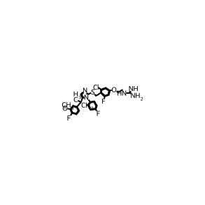 COc1cc(C(C)(C)c2cnc(SCc3c(F)cc(OCCNC(=N)N)cc3Cl)n2-c2ccc(F)cc2)ccc1F